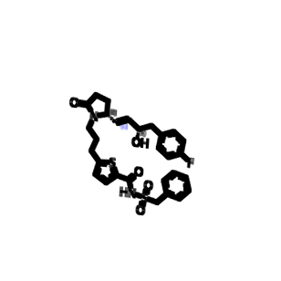 O=C(NS(=O)(=O)Cc1ccccc1)c1ccc(CCCN2C(=O)CC[C@@H]2/C=C/[C@@H](O)Cc2ccc(F)cc2)s1